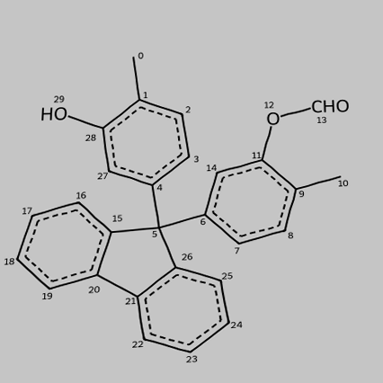 Cc1ccc(C2(c3ccc(C)c(OC=O)c3)c3ccccc3-c3ccccc32)cc1O